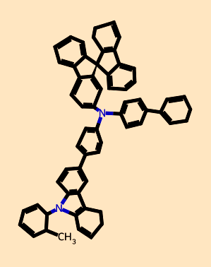 CC1C=CC=CC1n1c2c(c3cc(-c4ccc(N(c5ccc(C6=CCCC=C6)cc5)c5ccc6c(c5)[C@]5(C7=C(C=CCC7)c7ccccc75)c5ccccc5-6)cc4)ccc31)CCC=C2